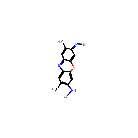 CCN=c1cc2oc3cc(NCC)c(C)cc3nc-2cc1C